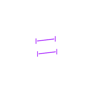 II.II